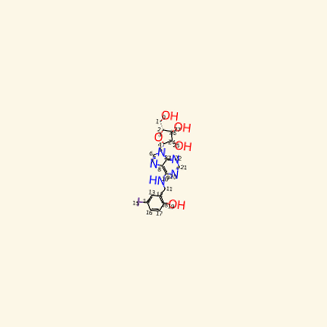 OC[C@H]1O[C@@H](n2cnc3c(NCc4cc(I)ccc4O)ncnc32)[C@@H](O)[C@@H]1O